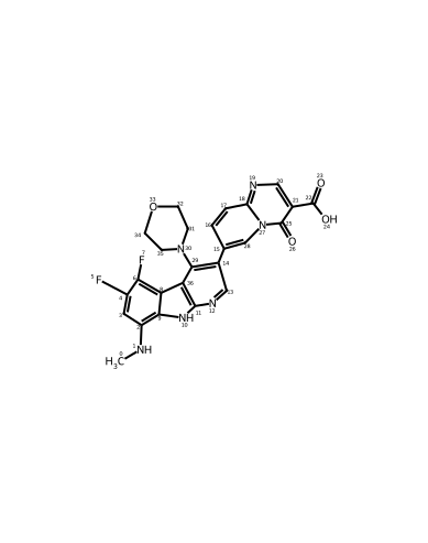 CNc1cc(F)c(F)c2c1[nH]c1ncc(-c3ccc4ncc(C(=O)O)c(=O)n4c3)c(N3CCOCC3)c12